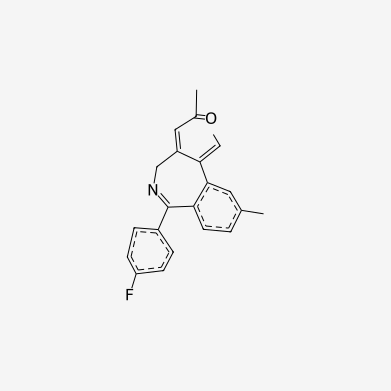 C/C=C1\C(=C/C(C)=O)CN=C(c2ccc(F)cc2)c2ccc(C)cc21